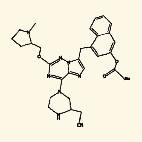 CN1CCCC1COc1nc(N2CCNC(CC#N)C2)c2ncc(Cc3cc(OC(=O)C(C)(C)C)cc4ccccc34)n2n1